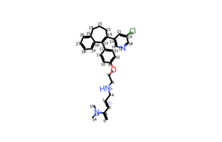 C=C(/C=C/CNCCOc1ccc(C2=C(c3cncc(Cl)c3)CCCc3ccccc32)cc1)N(C)C